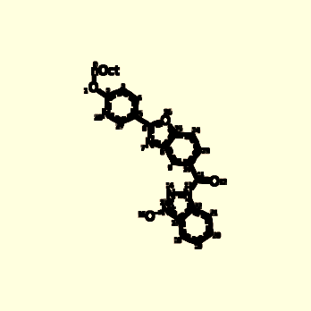 CCCCCCCCOc1ccc(-c2nc3cc(C(=O)n4n[n+]([O-])c5ccccc54)ccc3o2)cn1